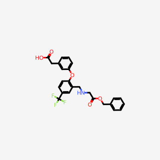 O=C(O)Cc1cccc(Oc2ccc(C(F)(F)F)cc2CNCC(=O)OCc2ccccc2)c1